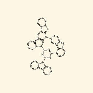 c1ccc(-c2nc(-c3cccc4sc5ccc(-c6nc(-c7ccccc7)nc7c6oc6ccccc67)cc5c34)nc(-n3c4ccccc4c4ccccc43)n2)cc1